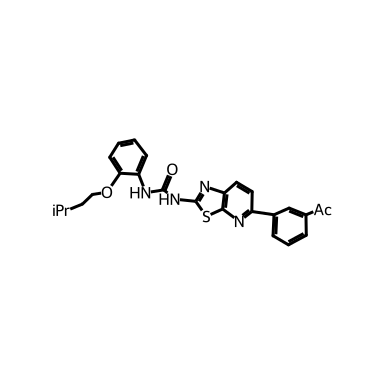 CC(=O)c1cccc(-c2ccc3nc(NC(=O)Nc4ccccc4OCCC(C)C)sc3n2)c1